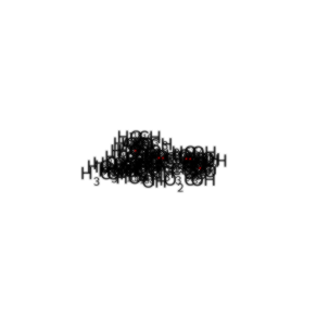 CC(=O)OC1C(C)OC(OC(=O)[C@]23CCC(C)(C)CC2C2=CCC4[C@@]5(C)CC[C@H](OC6OC(C(=O)O)C(O)C(OC7(O)COCC(O)C7O)C6OC6OC(CO)C(O)C(O)C6O)[C@@](C)(C=O)C5CC[C@@]4(C)[C@]2(C)C[C@H]3O)C(OC2OC(C)C(OC(O)/C(O)=C(/OC(O)/C(O)=C(\O)C(C)O)C(C)O)C(OC(O)/C(O)=C(/O)C(O)CCO)C2O)C1OC1OC(C)C(O)C(O)C1O